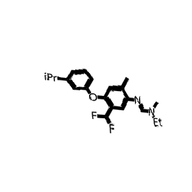 CCN(C)/C=N/c1cc(C(F)F)c(Oc2cccc(C(C)C)c2)cc1C